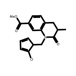 COC(=O)c1ccc2c(c1)N(CC1C=CC=C1Cl)C(=O)C(C)C2